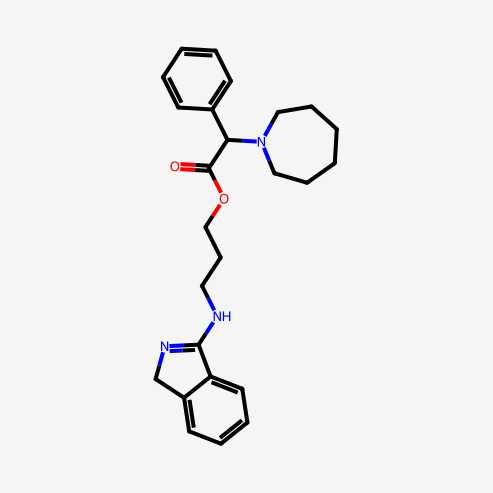 O=C(OCCCNC1=NCc2ccccc21)C(c1ccccc1)N1CCCCCC1